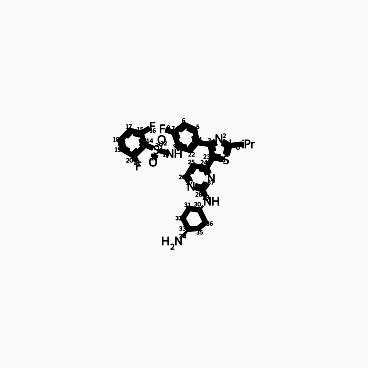 CC(C)c1nc(-c2ccc(F)c(NS(=O)(=O)c3c(F)cccc3F)c2)c(-c2ccnc(N[C@H]3CC[C@H](N)CC3)n2)s1